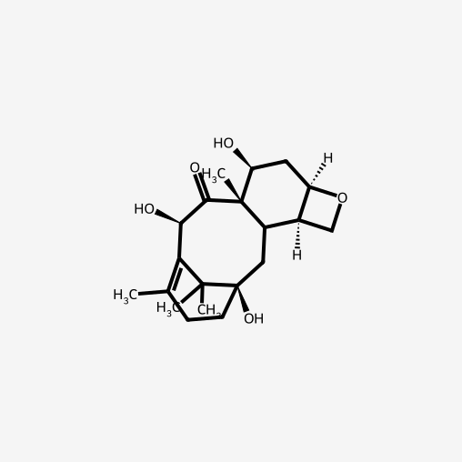 CC1=C2[C@@H](O)C(=O)[C@@]3(C)C(C[C@](O)(CC1)C2(C)C)[C@@H]1CO[C@@H]1C[C@@H]3O